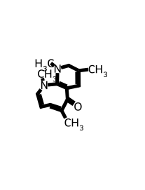 CC1=CC2=C(N(C)/C=C\C=C(/C)C2=O)N(C)C1